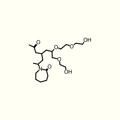 CC(=O)CC(CC(COCCO)OCCOCCO)CC(C)N1CCCCCC1=O